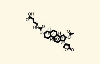 CC(=O)O[C@H]1C[C@]2(O)[C@@H]3CC[C@@H]4C[C@@H](OC(=O)NCCCC(=O)O)CC[C@]4(C)[C@H]3CC[C@]2(C)[C@H]1C1=CC(=O)OC1